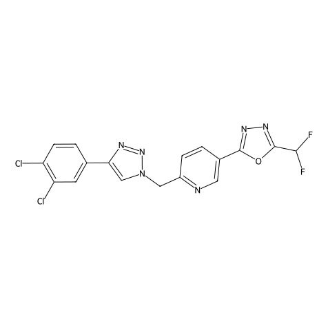 FC(F)c1nnc(-c2ccc(Cn3cc(-c4ccc(Cl)c(Cl)c4)nn3)nc2)o1